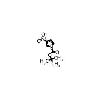 CC(C)(C)OC(=O)n1ccc([N+](=O)[O-])c1